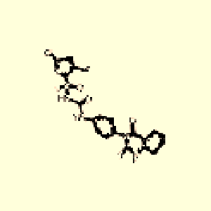 O=C(Nc1ccc(-n2c(=O)[nH]c3ccccc3c2=O)cc1)NS(=O)(=O)c1sc(Cl)cc1F